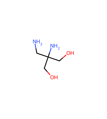 NCC(N)(CO)CO